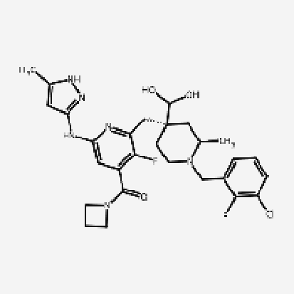 Cc1cc(Nc2cc(C(=O)N3CCC3)c(F)c(C[C@@]3(C(O)O)CCN(Cc4cccc(Cl)c4F)[C@H](C)C3)n2)n[nH]1